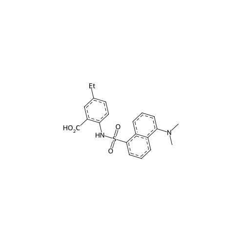 CCc1ccc(NS(=O)(=O)c2cccc3c(N(C)C)cccc23)c(C(=O)O)c1